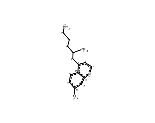 NCCCC(N)Cc1ccnc2cc(C(F)(F)F)ccc12